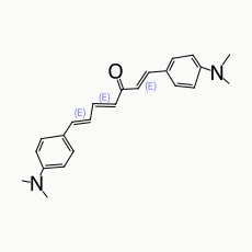 CN(C)c1ccc(/C=C/C=C/C(=O)/C=C/c2ccc(N(C)C)cc2)cc1